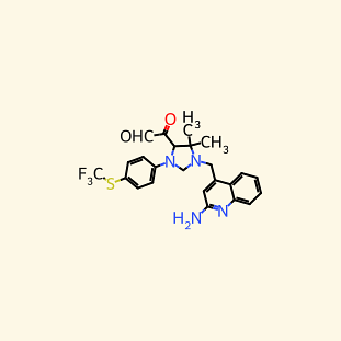 CC1(C)C(C(=O)C=O)N(c2ccc(SC(F)(F)F)cc2)CN1Cc1cc(N)nc2ccccc12